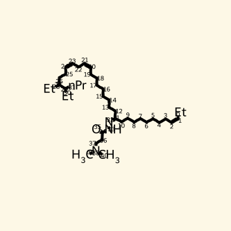 CC/C=C\CCCCCCCC/C(CCCCCCCC/C=C\C/C=C\CCC(CC)C(CC)CCC)=N\NC(=O)CCN(C)C